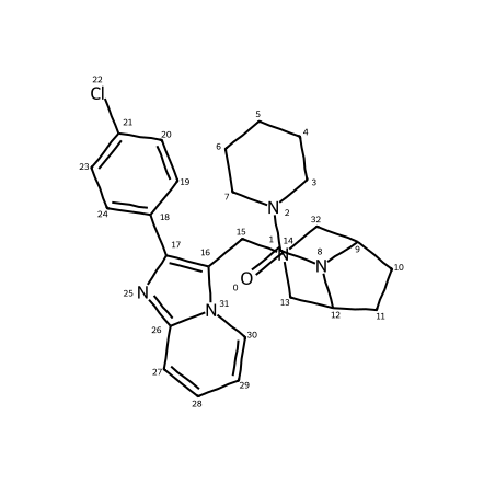 O=C(N1CCCCC1)N1C2CCC1CN(Cc1c(-c3ccc(Cl)cc3)nc3ccccn13)C2